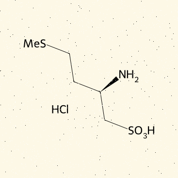 CSCC[C@@H](N)CS(=O)(=O)O.Cl